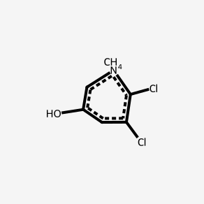 C.Oc1cnc(Cl)c(Cl)c1